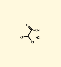 Cl.O=C(O)C(Cl)Cl